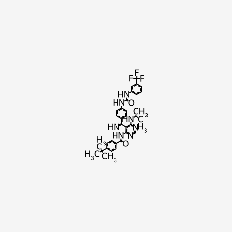 CC(C)Nc1ncnc(NC(=O)c2ccc(C(C)(C)C)cc2)c1C(=N)c1ccc(NC(=O)Nc2cccc(C(F)(F)F)c2)cc1